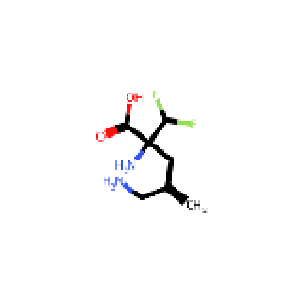 C=C(CN)CC(N)(C(=O)O)C(F)F